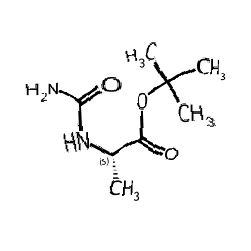 C[C@H](NC(N)=O)C(=O)OC(C)(C)C